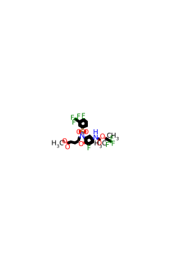 COC(=O)CCC1CN(S(=O)(=O)c2ccc(F)c(C(F)(F)F)c2)c2cc(NC(=O)OC(C)(C)C(F)(F)F)cc(F)c2O1